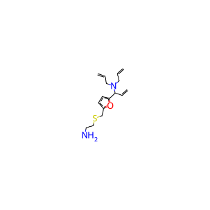 C=CCN(CC=C)C(C=C)c1ccc(CSCCN)o1